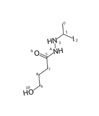 CC(I)NNC(=O)CCCO